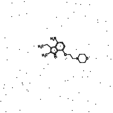 CCc1c(C)[nH]c2c(OCCN3CCOCC3)ccc(N)c12